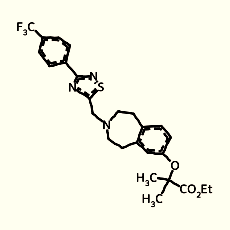 CCOC(=O)C(C)(C)Oc1ccc2c(c1)CCN(Cc1nc(-c3ccc(C(F)(F)F)cc3)ns1)CC2